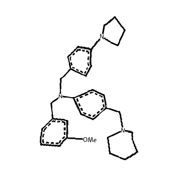 COc1cccc(CN(Cc2ccc(N3CCCC3)cc2)c2ccc(CN3CCCCC3)cc2)c1